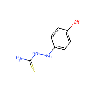 NC(=S)NNc1ccc(O)cc1